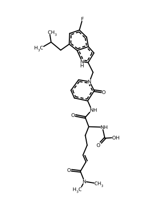 CC(C)Cc1cc(F)cc2cc(Cn3cccc(NC(=O)C(CCC=CC(=O)N(C)C)NC(=O)O)c3=O)[nH]c12